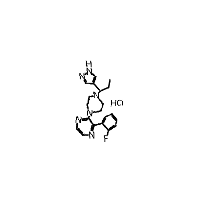 CCC(c1cn[nH]c1)N1CCN(c2nccnc2-c2ccccc2F)CC1.Cl